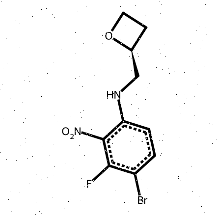 O=[N+]([O-])c1c(NC[C@@H]2CCO2)ccc(Br)c1F